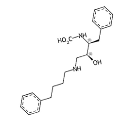 O=C(O)N[C@@H](Cc1ccccc1)[C@@H](O)CNCCCCc1ccccc1